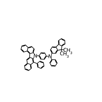 CC1(C)c2ccccc2-c2ccc(N(c3ccccc3)c3ccc(-n4c5ccc6ccccc6c5c5cc6ccccc6c(-c6ccccc6)c54)cc3)cc21